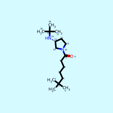 CC(C)(C)CCCCC(=O)N1CC[C@@H](NC(C)(C)C)C1